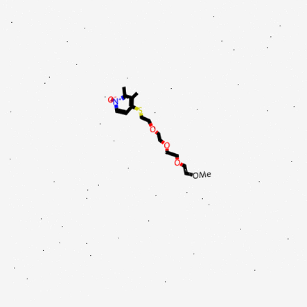 COCCOCCOCCOCCSc1cc[n+]([O-])c(C)c1C